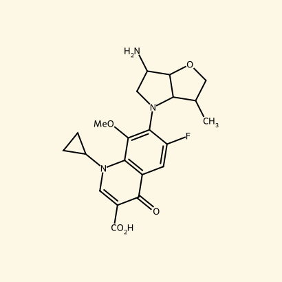 COc1c(N2CC(N)C3OCC(C)C32)c(F)cc2c(=O)c(C(=O)O)cn(C3CC3)c12